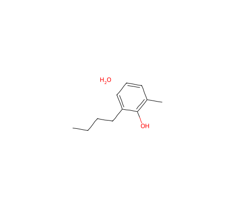 CCCCc1cccc(C)c1O.O